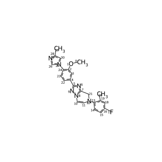 COc1cc(-c2nc3n(n2)C=CN(c2ccc(F)cc2C)C3)ccc1-n1cnc(C)c1